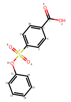 O=C(O)c1ccc(S(=O)(=O)Oc2ccccc2)cc1